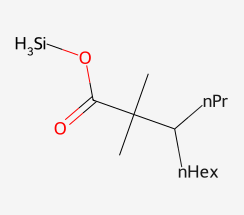 CCCCCCC(CCC)C(C)(C)C(=O)O[SiH3]